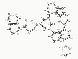 c1ccc(-c2ccc(-c3ccc4oc5cccc(C6=NC(c7ccc(-c8cccc9ccccc89)cc7)=NC(c7ccccc7)N6)c5c4c3)cc2)cc1